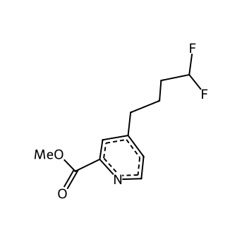 COC(=O)c1cc(CCCC(F)F)ccn1